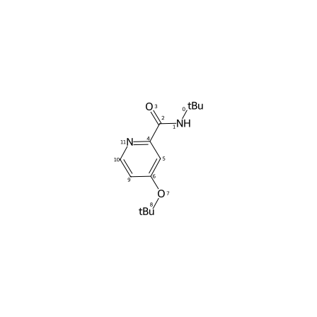 CC(C)(C)NC(=O)c1cc(OC(C)(C)C)ccn1